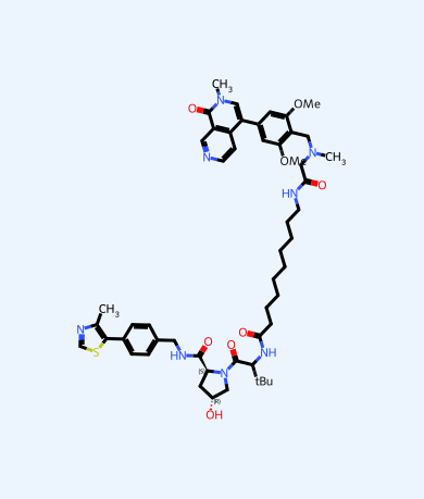 COc1cc(-c2cn(C)c(=O)c3cnccc23)cc(OC)c1CN(C)CC(=O)NCCCCCCCCCC(=O)NC(C(=O)N1C[C@H](O)C[C@H]1C(=O)NCc1ccc(-c2scnc2C)cc1)C(C)(C)C